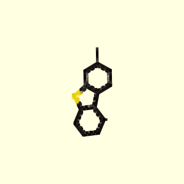 Cc1ccc2c(c1)sc1ccc[c]c12